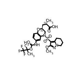 COc1nn2c(c1S(=O)(=O)N1C[C@H](C[C@H](C)C(=O)O)Oc3ccc(NC(=O)OC(C)(C)C(F)(F)F)cc31)CCCC2